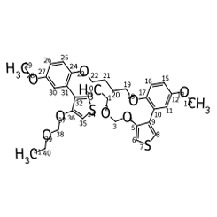 CCOCOc1cscc1-c1cc(OC)ccc1OCCCCOc1ccc(OC)cc1-c1cscc1OCOCC